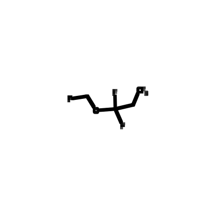 FCOC(F)(F)CC(F)(F)F